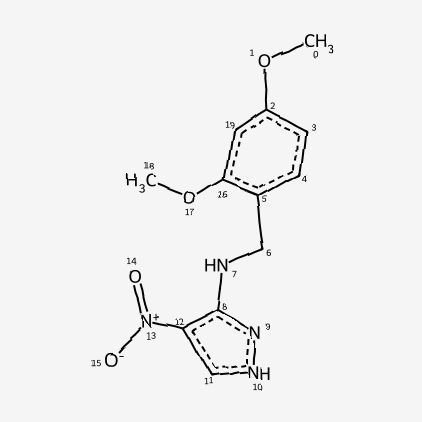 COc1ccc(CNc2n[nH]cc2[N+](=O)[O-])c(OC)c1